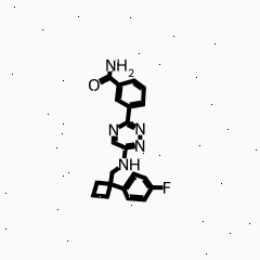 NC(=O)c1cccc(-c2ncc(NCC3(c4ccc(F)cc4)CCC3)nn2)c1